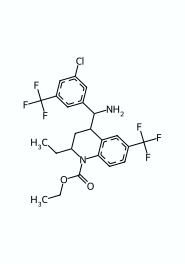 CCOC(=O)N1c2ccc(C(F)(F)F)cc2C(C(N)c2cc(Cl)cc(C(F)(F)F)c2)CC1CC